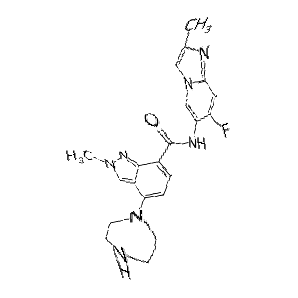 Cc1cn2cc(NC(=O)c3ccc(N4CCNCC4)c4cn(C)nc34)c(F)cc2n1